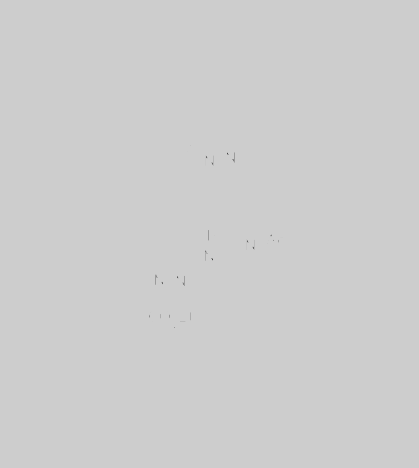 CCOC(=O)Cn1nc(N2CCN(C(C)=O)CC2)c2c(-c3cc4c(cnn4C)cc3F)cccc21